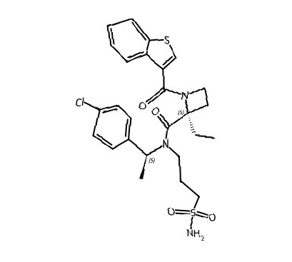 CC[C@@]1(C(=O)N(CCCS(N)(=O)=O)[C@@H](C)c2ccc(Cl)cc2)CCN1C(=O)c1csc2ccccc12